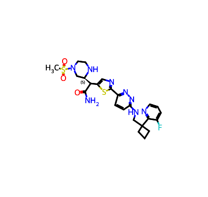 CS(=O)(=O)N1CCN[C@@H](C(C(N)=O)c2cnc(-c3ccc(NCC4(c5ncccc5F)CCC4)nn3)s2)C1